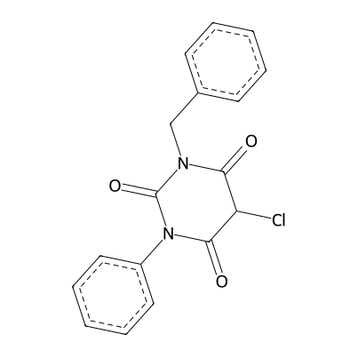 O=C1C(Cl)C(=O)N(c2ccccc2)C(=O)N1Cc1ccccc1